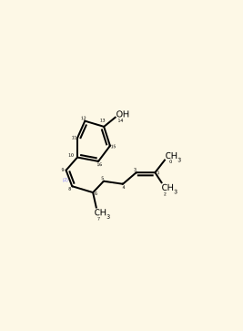 CC(C)=CCCC(C)/C=C\c1ccc(O)cc1